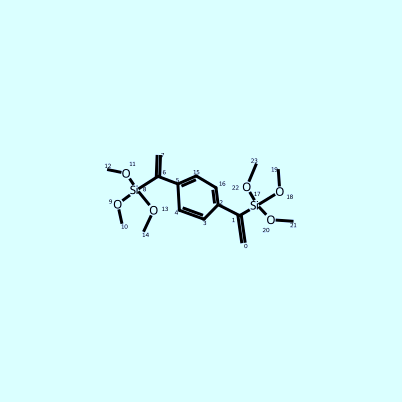 C=C(c1ccc(C(=C)[Si](OC)(OC)OC)cc1)[Si](OC)(OC)OC